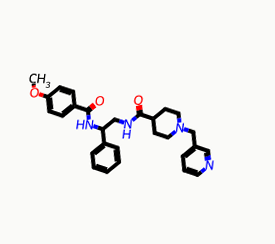 COc1ccc(C(=O)NC(CNC(=O)C2CCN(Cc3cccnc3)CC2)c2ccccc2)cc1